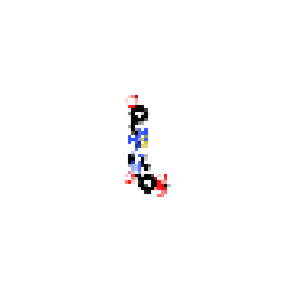 COc1cccc(Cc2nsc(N3CCN(C(=O)c4ccc5c(c4)OCO5)C(C)C3)n2)c1